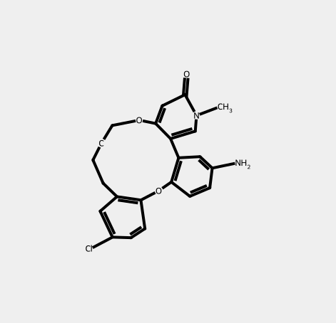 Cn1cc2c(cc1=O)OCCCCc1cc(Cl)ccc1Oc1ccc(N)cc1-2